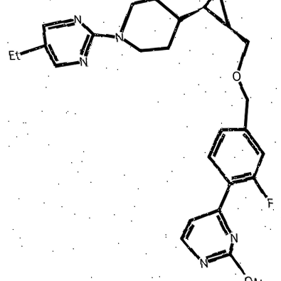 CCc1cnc(N2CCC([C@H]3C[C@H]3COCc3ccc(-c4ccnc(OC)n4)c(F)c3)CC2)nc1